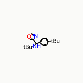 CC(C)(C)N[C@H](c1ccc(C(C)(C)C)cc1)c1cocn1